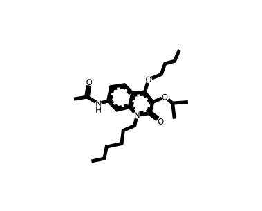 CCCCCCn1c(=O)c(OC(C)C)c(OCCCC)c2ccc(NC(C)=O)cc21